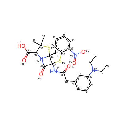 CCN(CC)c1cccc(CC(=O)NC2(Sc3ccccc3[N+](=O)[O-])C(=O)N3[C@@H](C(=O)O)C(C)(C)S[C@@H]32)c1